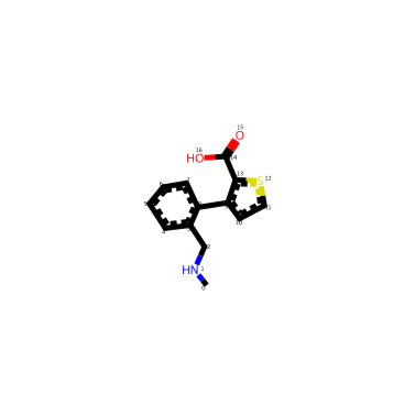 CNCc1ccccc1-c1ccsc1C(=O)O